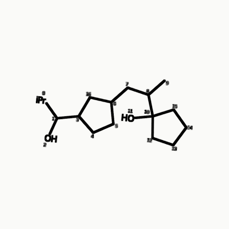 CC(C)C(O)C1CCC(CC(C)C2(O)CCCC2)C1